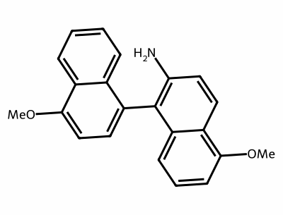 COc1ccc(-c2c(N)ccc3c(OC)cccc23)c2ccccc12